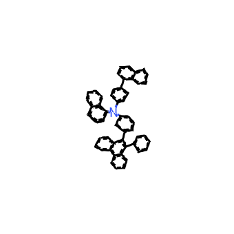 c1ccc(-c2c(-c3cccc(N(c4ccc(-c5cccc6ccccc56)cc4)c4cccc5ccccc45)c3)c3ccccc3c3ccccc23)cc1